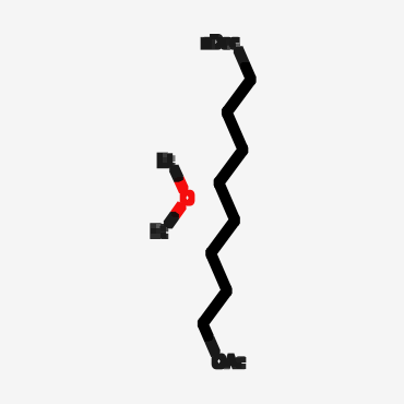 CCCCCCCCCCCCCCCCCCOC(C)=O.CCOCC